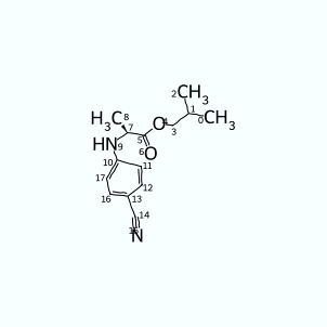 CC(C)COC(=O)[C@H](C)Nc1ccc(C#N)cc1